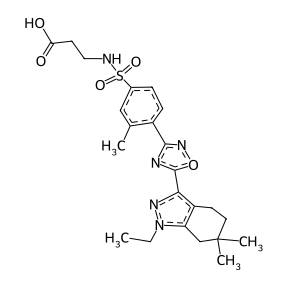 CCn1nc(-c2nc(-c3ccc(S(=O)(=O)NCCC(=O)O)cc3C)no2)c2c1CC(C)(C)CC2